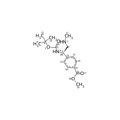 CNC[C@H](NC(=O)OC(C)(C)C)c1ccc(C(=O)OC)cc1